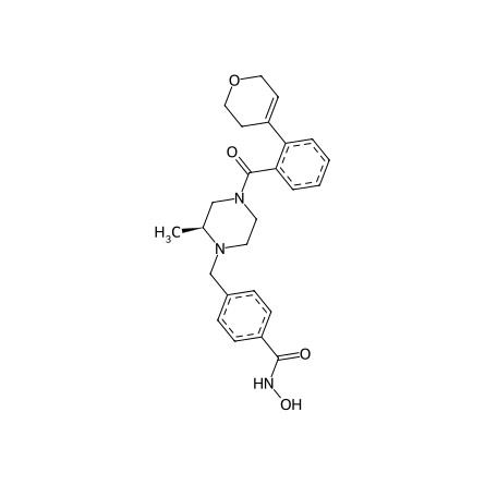 C[C@H]1CN(C(=O)c2ccccc2C2=CCOCC2)CCN1Cc1ccc(C(=O)NO)cc1